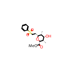 COC(=O)[C@@H]1O[C@H](CCS(=O)(=O)c2ccccc2)[C@H](C)[C@H](O)[C@@H]1C